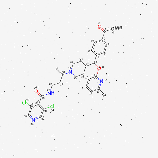 COC(=O)c1ccc(C(Oc2cccc(C)n2)C2CCN(C(C)CCNC(=O)c3c(Cl)cncc3Cl)CC2)cc1